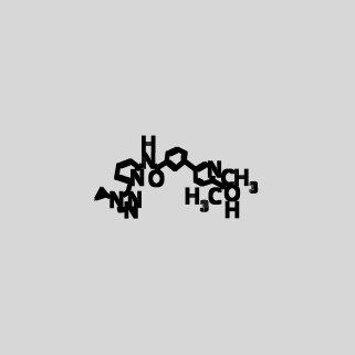 CC(C)(O)c1ccc(-c2cccc(C(=O)Nc3cccc(-c4nncn4C4CC4)n3)c2)cn1